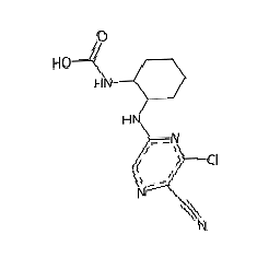 N#Cc1ncc(NC2CCCCC2NC(=O)O)nc1Cl